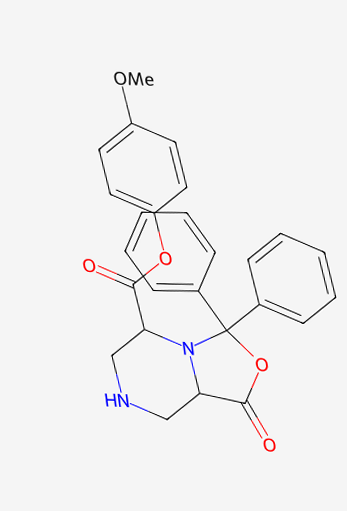 COc1ccc(OC(=O)C2CNCC3C(=O)OC(c4ccccc4)(c4ccccc4)N23)cc1